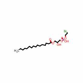 CCCCCCCCCCCCCCCC(=O)OC[C@@H](O)COP(=O)(O)OCCBr